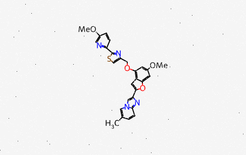 COc1ccc(-c2nc(COc3cc(OC)cc4oc(-c5cn6cc(C)ccc6n5)cc34)cs2)nc1